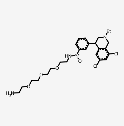 CCN1Cc2c(Cl)cc(Cl)cc2C(c2cccc([S+]([O-])NCCOCCOCCOCCN)c2)C1